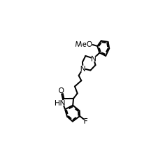 COc1ccccc1N1CCN(CCCCC2C(=O)Nc3ccc(F)cc32)CC1